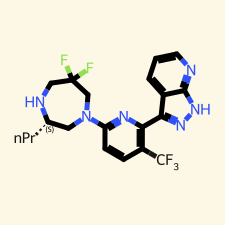 CCC[C@H]1CN(c2ccc(C(F)(F)F)c(-c3n[nH]c4ncccc34)n2)CC(F)(F)CN1